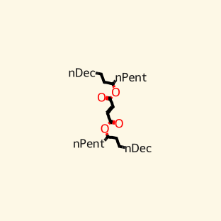 CCCCCCCCCCCCC(CCCCC)OC(=O)/C=C/C(=O)OC(CCCCC)CCCCCCCCCCCC